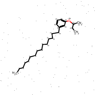 CCCCCCCCCCCCCCCc1cccc(OC(C)CC)c1